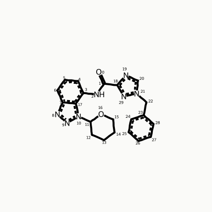 O=C(Nc1cccc2nnn(C3CCCCO3)c12)c1ncn(Cc2ccccc2)n1